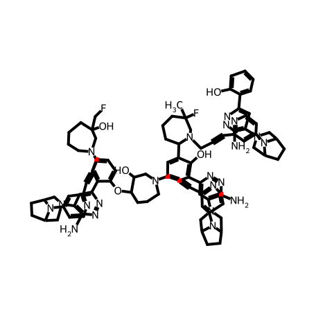 CC1(F)CCCC(c2cccc(-c3cc(N4CC5CCC(C4)N5c4ccnc(C#CCN5CCCC(Oc6ccccc6-c6cc(N7CC8CCC(C7)N8c7ccnc(C#CCN8CCCCC(O)(CF)C8)c7)c(N)nn6)C(O)C5)c4)c(N)nn3)c2O)N(CC#Cc2cc(N3C4CCC3CN(c3cc(-c5ccccc5O)nnc3N)C4)ccn2)C1